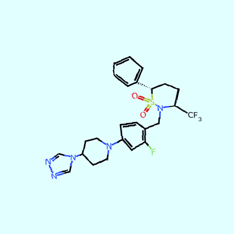 O=S1(=O)[C@H](c2ccccc2)CCC(C(F)(F)F)N1Cc1ccc(N2CCC(n3cnnc3)CC2)cc1F